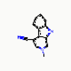 Cn1cc2nc3ccccc3c-2c(C#N)c1